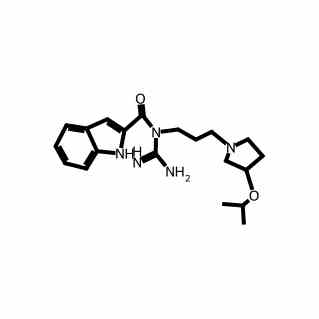 CC(C)OC1CCN(CCCN(C(=N)N)C(=O)c2cc3ccccc3[nH]2)C1